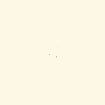 NN.O.[BiH3]